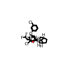 FC(F)Cn1nc(N[C@H]2[C@@H]3CC[C@H]2CN(c2cnnc(Cl)c2)C3)nc1Oc1cccc(Cl)c1